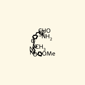 COc1ccc(Oc2cc(N(C)CCOc3ccc(CC(C=O)SC(N)=O)cc3)ncn2)cc1